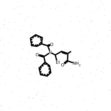 CCC(C=C(C)C(N)=O)N(C(=O)c1ccccc1)C(=O)c1ccccc1